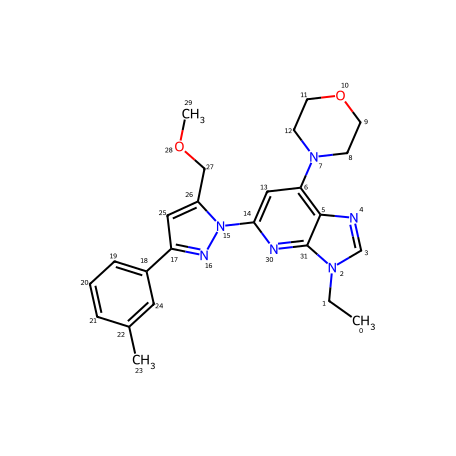 CCn1cnc2c(N3CCOCC3)cc(-n3nc(-c4cccc(C)c4)cc3COC)nc21